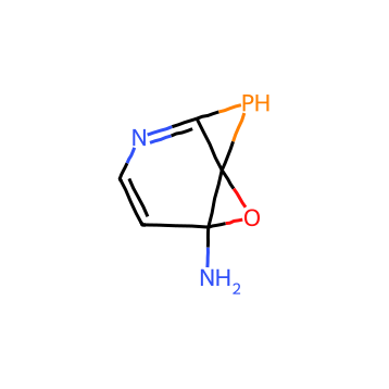 NC12C=CN=C3PC31O2